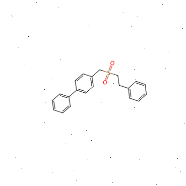 O=S(=O)(CCc1ccccc1)Cc1ccc(-c2ccccc2)cc1